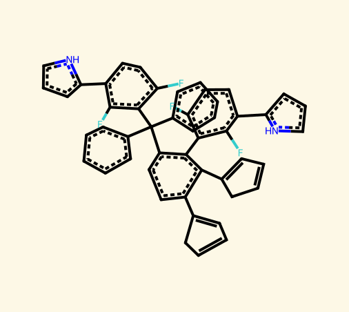 Fc1ccc(-c2ccc[nH]2)c(F)c1-c1c(C(c2ccccc2)(c2ccccc2)c2c(F)ccc(-c3ccc[nH]3)c2F)ccc(C2=CC=CC2)c1C1=CC=CC1